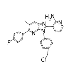 Cc1cc2nc(-c3cccnc3N)n(-c3ccc(CCl)cc3)c2nc1-c1ccc(F)cc1